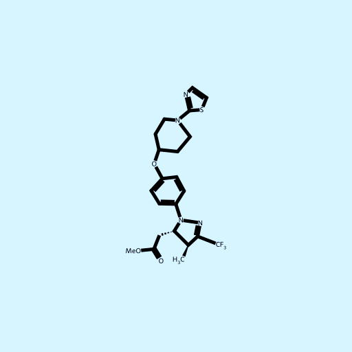 COC(=O)C[C@H]1[C@H](C)C(C(F)(F)F)=NN1c1ccc(OC2CCN(c3nccs3)CC2)cc1